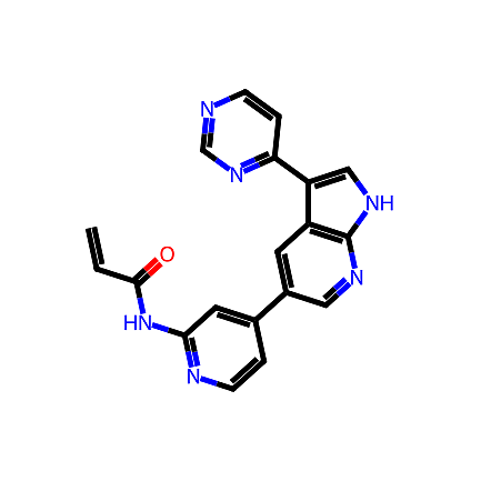 C=CC(=O)Nc1cc(-c2cnc3[nH]cc(-c4ccncn4)c3c2)ccn1